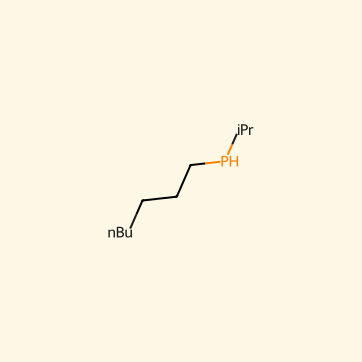 CCCCCCCPC(C)C